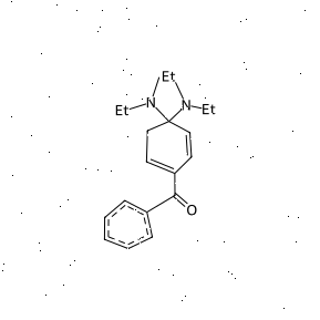 CCN(C)C1(N(CC)CC)C=CC(C(=O)c2ccccc2)=CC1